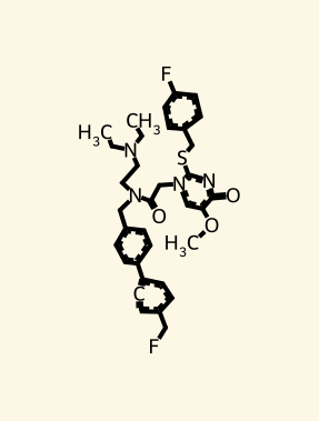 CCN(CC)CCN(Cc1ccc(-c2ccc(CF)cc2)cc1)C(=O)Cn1cc(OC)c(=O)nc1SCc1ccc(F)cc1